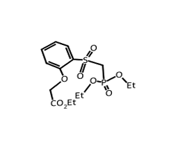 CCOC(=O)COc1ccccc1S(=O)(=O)CP(=O)(OCC)OCC